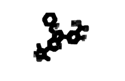 Cc1noc(C)c1-c1cnc2c(-c3ccc(F)c(C(=O)O)c3)cn(CC3(F)CCCCC3)c2c1